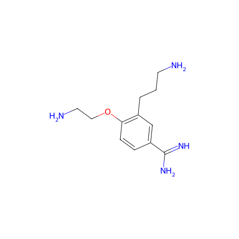 N=C(N)c1ccc(OCCN)c(CCCN)c1